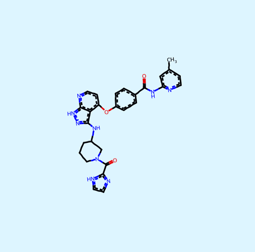 Cc1ccnc(NC(=O)c2ccc(Oc3ccnc4[nH]nc(NC5CCCN(C(=O)c6ncc[nH]6)C5)c34)cc2)c1